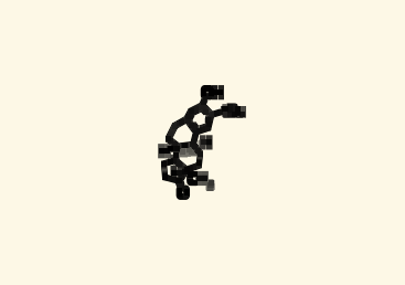 CC(C)(C)c1cc2c(cc1O)CC[C@@H]1[C@@H]2CC[C@]2(C)C(=O)CC[C@@H]12